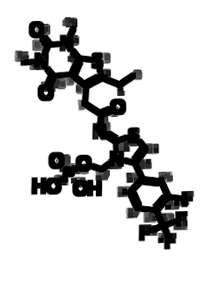 CCc1sc2c(c1CC(=O)N=c1scc(-c3ccc(C(F)(F)F)c(F)c3)n1COP(=O)(O)O)c(=O)n(C)c(=O)n2C